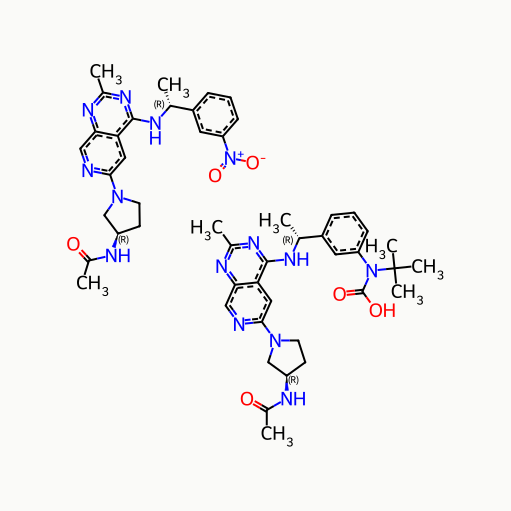 CC(=O)N[C@@H]1CCN(c2cc3c(N[C@H](C)c4cccc(N(C(=O)O)C(C)(C)C)c4)nc(C)nc3cn2)C1.CC(=O)N[C@@H]1CCN(c2cc3c(N[C@H](C)c4cccc([N+](=O)[O-])c4)nc(C)nc3cn2)C1